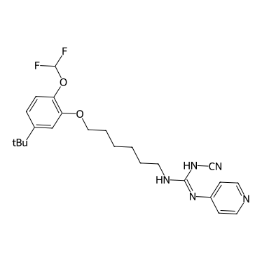 CC(C)(C)c1ccc(OC(F)F)c(OCCCCCCN/C(=N/c2ccncc2)NC#N)c1